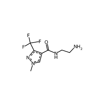 Cn1cc(C(=O)NCCN)c(C(F)(F)F)n1